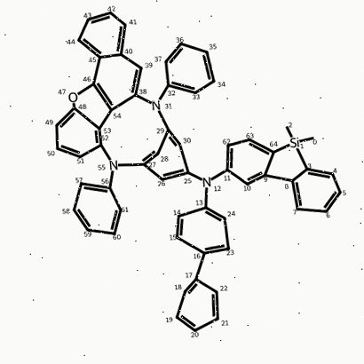 C[Si]1(C)c2ccccc2-c2cc(N(c3ccc(-c4ccccc4)cc3)c3cc4cc(c3)N(c3ccccc3)c3cc5ccccc5c5oc6cccc(c6c35)N4c3ccccc3)ccc21